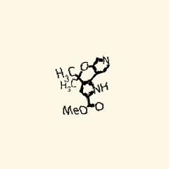 COC(=O)c1cc2c([nH]1)-c1ccncc1OC2(C)C